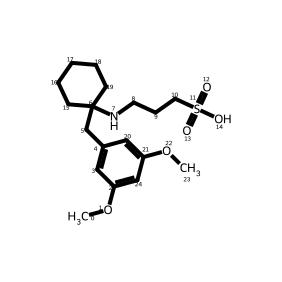 COc1cc(CC2(NCCCS(=O)(=O)O)CCCCC2)cc(OC)c1